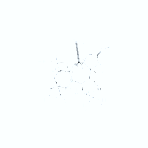 C=C1C=C2[C@@]3(O[Si](C)(C)C)CC[C@@H]4[C@@H]([C@@H]3[C@H](O[Si](C)(C)C(C)(C)C)[C@H](C)[C@H]3OC(=O)O[C@@]23C1)C4(C)C